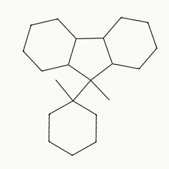 CC1(C2(C)C3CCCCC3C3CCCCC32)CCCCC1